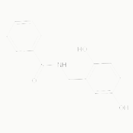 O=C(NCc1cc(O)ccc1O)c1ccccc1